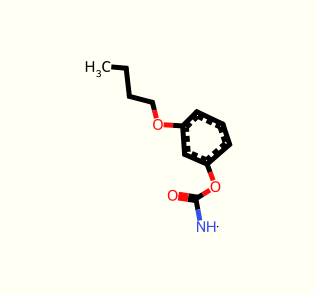 CCCCOc1cccc(OC([NH])=O)c1